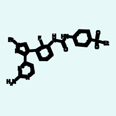 CCn1cc(-c2cccc(NC(=O)Nc3ccc(S(=O)(=O)CC)cc3)c2F)c(-c2ccnc(N)n2)n1